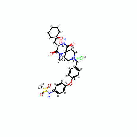 CCCCN1C(=O)[C@@H](CC2(O)CCCCC2)NC(=O)C12CCN(Cc1ccc(Oc3ccc(NS(=O)(=O)CC)cc3)cc1)CC2.Cl